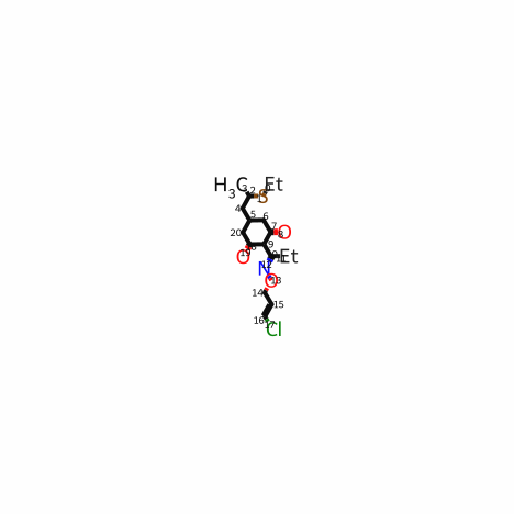 CCSC(C)CC1CC(=O)C(/C(CC)=N/OC/C=C/Cl)C(=O)C1